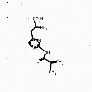 C=C(C)C(=O)Nc1nc(C[C@H](N)C(=O)O)c[nH]1